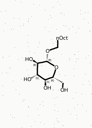 CCCCCCCCCO[C@@H]1O[C@H](CO)[C@@H](O)[C@H](O)[C@H]1O